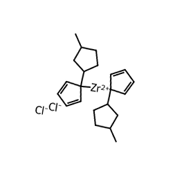 CC1CCC([C]2([Zr+2][C]3(C4CCC(C)C4)C=CC=C3)C=CC=C2)C1.[Cl-].[Cl-]